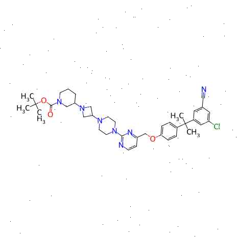 CC(C)(C)OC(=O)N1CCCC(N2CC(N3CCN(c4nccc(COc5ccc(C(C)(C)c6cc(Cl)cc(C#N)c6)cc5)n4)CC3)C2)C1